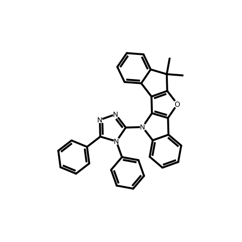 CC1(C)c2ccccc2-c2c1oc1c3ccccc3n(-c3nnc(-c4ccccc4)n3-c3ccccc3)c21